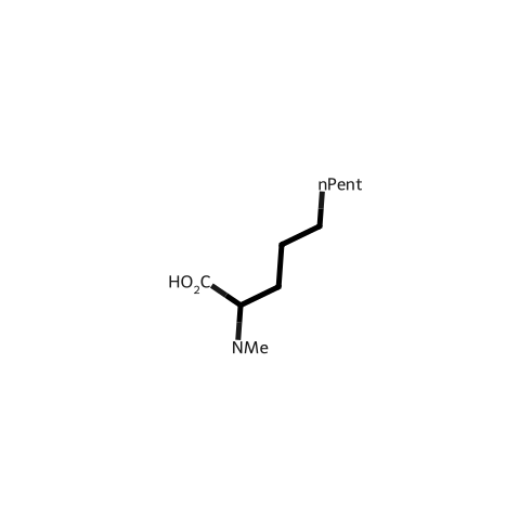 CCCCCCCCC(NC)C(=O)O